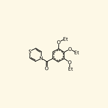 CCOc1cc(C(=O)N2C=CSC=C2)cc(OCC)c1OCC